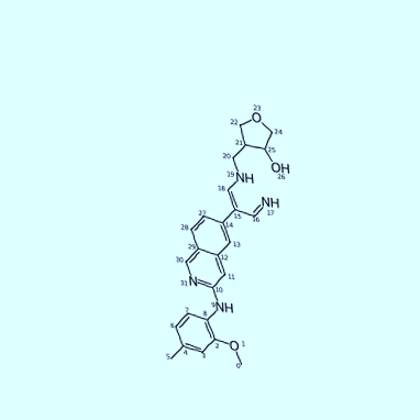 COc1cc(C)ccc1Nc1cc2cc(/C(C=N)=C/NCC3COCC3O)ccc2cn1